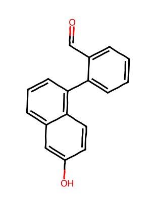 O=Cc1ccccc1-c1cccc2cc(O)ccc12